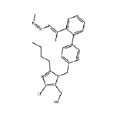 CCCCc1nc(Cl)c(CO)n1Cc1ccc(-c2ccccc2/C(C)=N/N=N\C)cc1